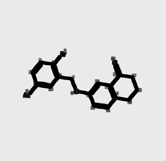 CC(=O)c1ccc(Br)c(COc2ccc3c(c2)C(=O)CCC3)c1